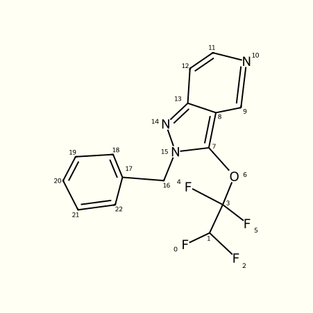 FC(F)C(F)(F)Oc1c2cnccc2nn1Cc1ccccc1